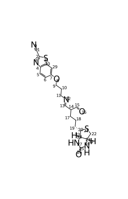 N#Cc1nc2ccc(OCCC/N=C/C(C=O)CCC[C@@H]3SC[C@@H]4NC(=O)N[C@@H]43)cc2s1